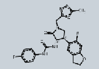 Cc1nnc(CN2C[C@@H](c3cc4c(cc3F)OCC4)[C@H](NC(=O)Nc3ccc(F)cc3)C2=O)o1